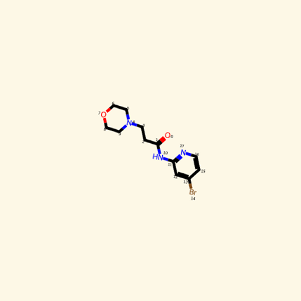 O=C(CCN1CCOCC1)Nc1cc(Br)ccn1